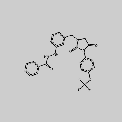 O=C(NNc1cc(CN2CC(=O)N(c3ccc(SC(F)(F)F)cc3)C2=O)ccn1)c1ccccc1